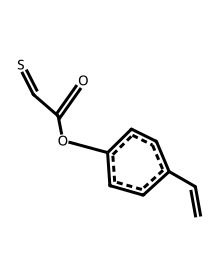 C=Cc1ccc(OC(=O)C=S)cc1